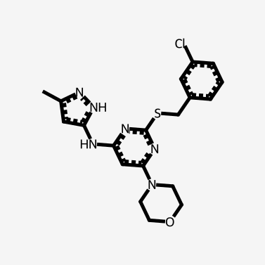 Cc1cc(Nc2cc(N3CCOCC3)nc(SCc3cccc(Cl)c3)n2)[nH]n1